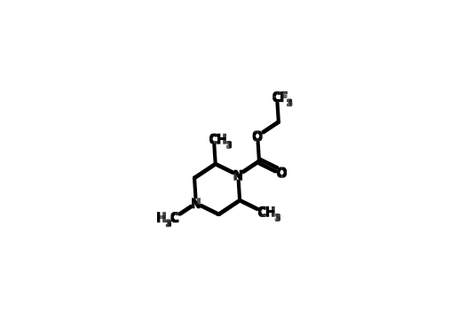 CC1CN(C)CC(C)N1C(=O)OCC(F)(F)F